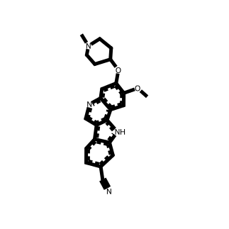 COc1cc2c(cc1OC1CCN(C)CC1)ncc1c3ccc(C#N)cc3[nH]c21